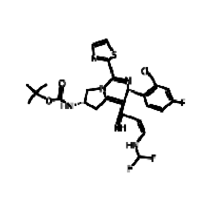 CC(C)(C)OC(=O)N[C@H]1CC2=C(C(=N)/C=C\NC(F)F)[C@H](c3ccc(F)cc3Cl)N=C(c3nccs3)N2C1